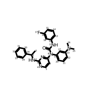 CC(Nc1nccc(N(C(=O)Nc2cccc(F)c2)c2cccc(N(C)C)c2)n1)c1ccccc1